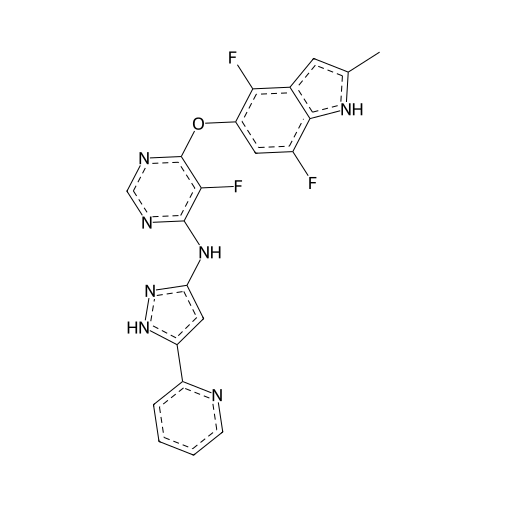 Cc1cc2c(F)c(Oc3ncnc(Nc4cc(-c5ccccn5)[nH]n4)c3F)cc(F)c2[nH]1